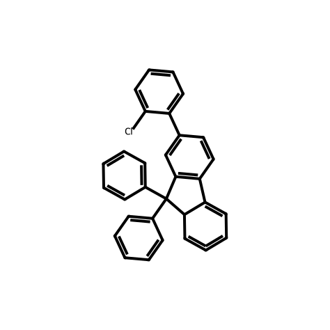 Clc1ccccc1-c1ccc2c(c1)C(c1ccccc1)(c1ccccc1)C1C=C=CC=C21